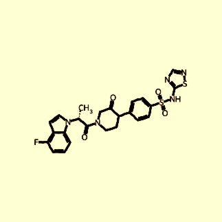 C[C@H](C(=O)N1CCC(c2ccc(S(=O)(=O)Nc3ncns3)cc2)C(=O)C1)n1ccc2c(F)cccc21